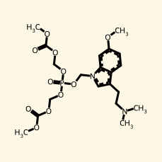 COC(=O)OCOP(=O)(OCOC(=O)OC)OCn1cc(CCN(C)C)c2ccc(OC)cc21